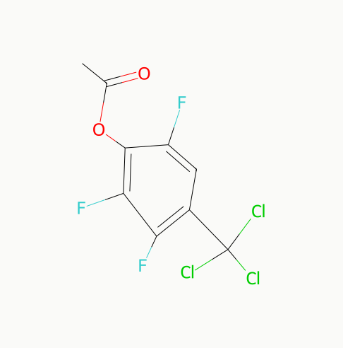 CC(=O)Oc1c(F)cc(C(Cl)(Cl)Cl)c(F)c1F